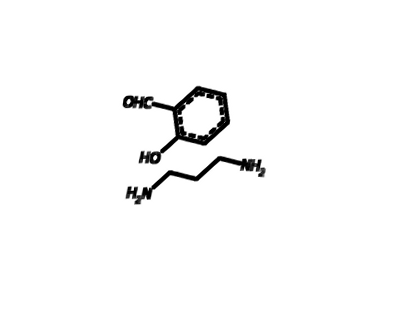 NCCCN.O=Cc1ccccc1O